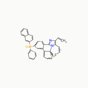 C=Cc1nc2c3ccc(P(=S)(c4ccccc4)c4ccc5ccccc5c4)cc3c3ccccc3n2c1/C=C\C